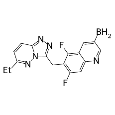 Bc1cnc2cc(F)c(Cc3nnc4ccc(CC)nn34)c(F)c2c1